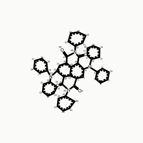 O=C1c2cc(N(c3ccccc3)c3ccccc3)c3c4c(cc(N(c5ccccc5)c5ccccc5)c(c24)C(=O)N1c1ccccc1)C(=O)N(c1ccccc1)C3=O